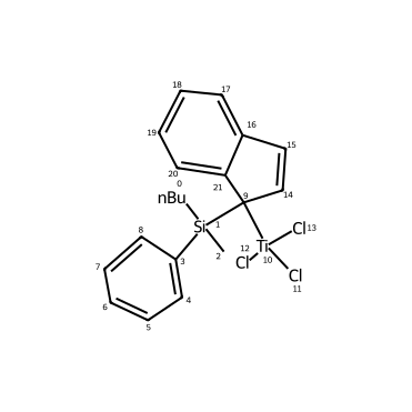 CCCC[Si](C)(c1ccccc1)[C]1([Ti]([Cl])([Cl])[Cl])C=Cc2ccccc21